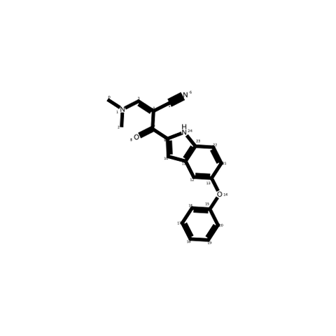 CN(C)/C=C(/C#N)C(=O)c1cc2cc(Oc3ccccc3)ccc2[nH]1